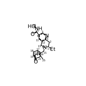 CC[C@@H]1Cc2ncc(C(=O)NO)cc2CN1CC12CCC(CC1)C(=O)N2C